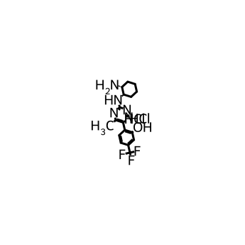 Cc1nc(N[C@@H]2CCCC[C@H]2N)nnc1-c1ccc(C(F)(F)F)cc1O.Cl.Cl